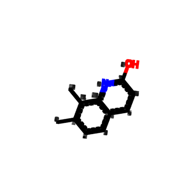 Cc1ccc2c[c]c(O)nc2c1C